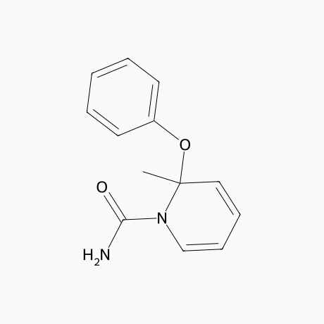 CC1(Oc2ccccc2)C=CC=CN1C(N)=O